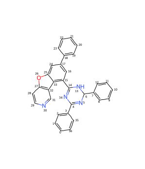 c1ccc(C2=NC(c3ccccc3)NC(c3cc(-c4ccccc4)cc4oc5ccncc5c34)=N2)cc1